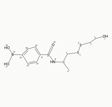 CC(CSSCCO)NC(=O)c1ccc(B(O)O)cc1